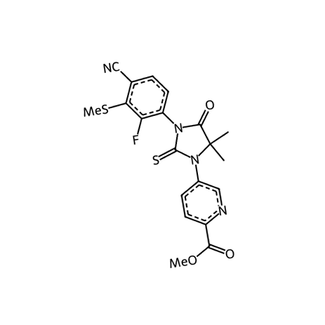 COC(=O)c1ccc(N2C(=S)N(c3ccc(C#N)c(SC)c3F)C(=O)C2(C)C)cn1